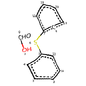 O=CO.c1ccc(Sc2ccccc2)cc1